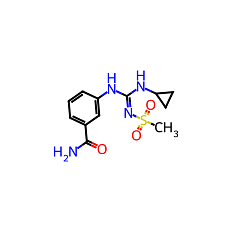 CS(=O)(=O)N=C(Nc1cccc(C(N)=O)c1)NC1CC1